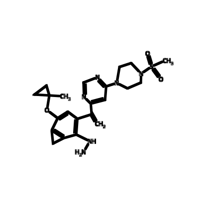 C=C(c1cc(N2CCN(S(C)(=O)=O)CC2)ncn1)c1cc(OC2(C)CC2)c2c(c1NN)C2